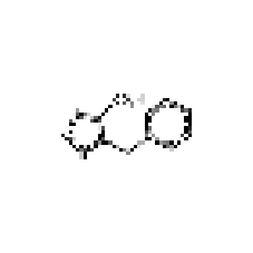 O=C(O)c1nsnc1Cc1ccccc1